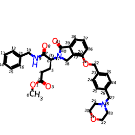 COC(=O)CC[C@@H](C(=O)NCc1ccccc1)N1Cc2c(OCc3ccc(CN4CCOCC4)cc3)cccc2C1=O